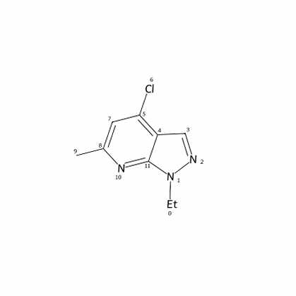 CCn1ncc2c(Cl)cc(C)nc21